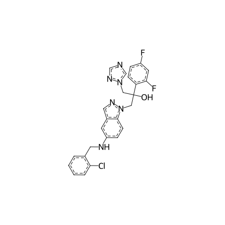 OC(Cn1cncn1)(Cn1ncc2cc(NCc3ccccc3Cl)ccc21)c1ccc(F)cc1F